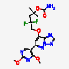 COc1ncc(-c2cc(OCC(F)(F)CC(C)(C)OC(N)=O)c3ncnn3n2)c(OC)n1